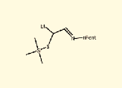 CCCCCN=CC(CC)S[Si](C)(C)C